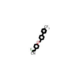 N#CC(F)=CC1CCC(OCC2CCC(c3ccc(C(F)(F)F)cc3)CC2)CC1